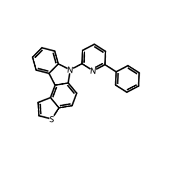 c1ccc(-c2cccc(-n3c4ccccc4c4c5ccsc5ccc43)n2)cc1